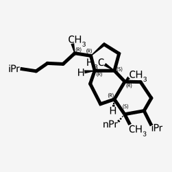 CCC[C@@]1(C)C(C(C)C)CC[C@]2(C)[C@@H]1CC[C@@H]1[C@@H]([C@H](C)CCCC(C)C)CC[C@@]12C